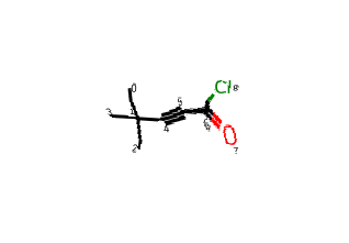 CC(C)(C)C#CC(=O)Cl